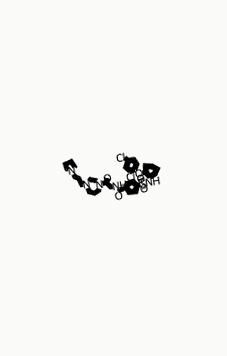 O=C(NCC(=O)N1CCCN(CCCN2CCCC2)CC1)c1ccc(S(=O)(=O)Nc2ccccc2Oc2ccc(Cl)cc2Cl)cc1